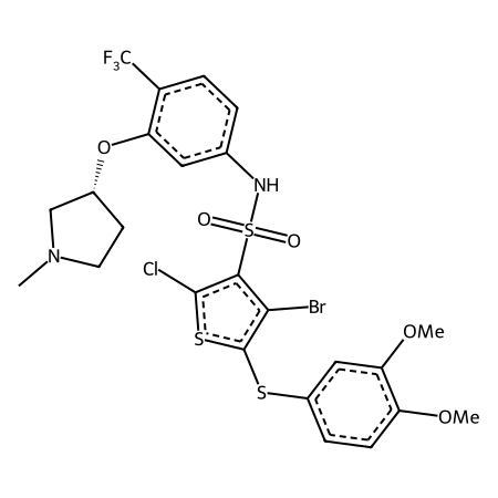 COc1ccc(Sc2sc(Cl)c(S(=O)(=O)Nc3ccc(C(F)(F)F)c(O[C@@H]4CCN(C)C4)c3)c2Br)cc1OC